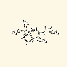 C/C=C\C=C\C(C)c1cccc(C(C)C)c1N